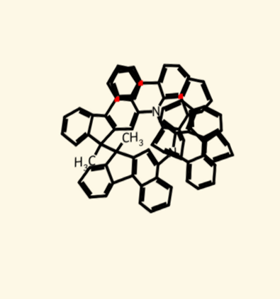 CC1(C2(C)c3ccccc3-c3c2cc(N(c2ccccc2-c2ccccc2)c2ccccc2-c2ccccc2)c2ccccc32)c2ccccc2-c2c1cc(N(c1ccccc1-c1ccccc1)c1ccccc1-c1ccccc1)c1ccccc21